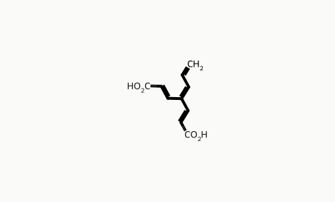 C=CC=C(C=CC(=O)O)C=CC(=O)O